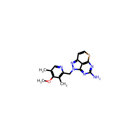 COc1c(C)cnc(Cn2nc3c4c(nc(N)nc42)SC=C3)c1C